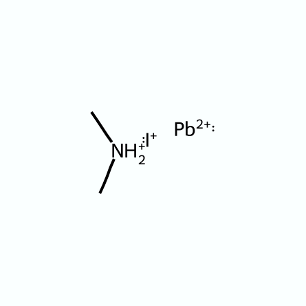 C[NH2+]C.[I+].[Pb+2]